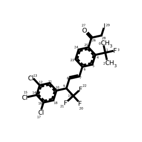 CC(C)(F)c1cc(/C=C/C(c2cc(Cl)c(Cl)c(Cl)c2)C(F)(F)F)ccc1C(=O)CI